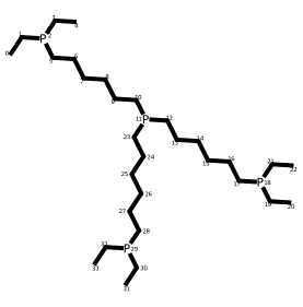 CCP(CC)CCCCCCP(CCCCCCP(CC)CC)CCCCCCP(CC)CC